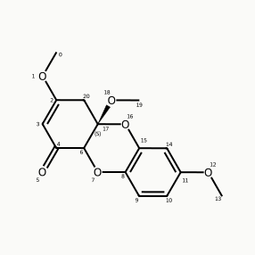 COC1=CC(=O)C2Oc3ccc(OC)cc3O[C@@]2(OC)C1